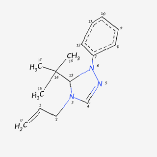 C=CCN1[C]=NN(c2ccccc2)C1C(C)(C)C